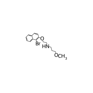 COCCCNCCOc1ccc2ccccc2c1Br